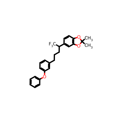 CC1(C)Oc2ccc(C(CCCc3cccc(Oc4ccccc4)c3)C(F)(F)F)cc2O1